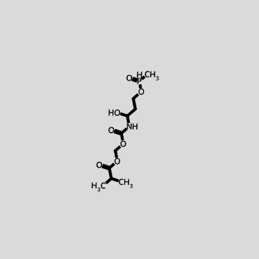 CC(C)C(=O)OCOC(=O)NC(O)CCO[PH](C)=O